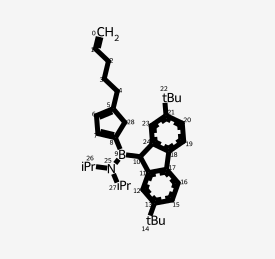 C=CCCCC1=CC=C(B(C2c3cc(C(C)(C)C)ccc3-c3ccc(C(C)(C)C)cc32)N(C(C)C)C(C)C)C1